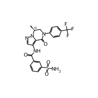 C[C@H]1CN(c2ccc(C(F)(F)F)cc2)C(=O)c2c(NC(=O)c3cccc(S(N)(=O)=O)c3)cnn21